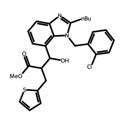 CCCCc1nc2cccc(C(O)C(Cc3cccs3)C(=O)OC)c2n1Cc1ccccc1Cl